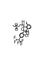 CCS(=O)(=O)C[C@H](C)NC(=O)c1c(I)cccc1C(=O)Nc1ccc(C(C(F)F)C(F)(F)F)cc1Cl